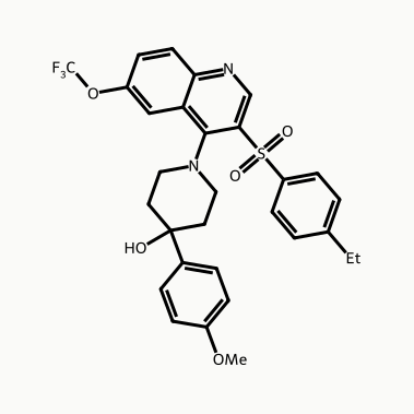 CCc1ccc(S(=O)(=O)c2cnc3ccc(OC(F)(F)F)cc3c2N2CCC(O)(c3ccc(OC)cc3)CC2)cc1